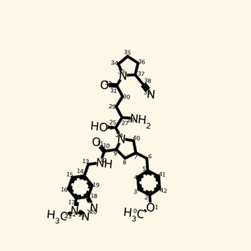 COc1ccc(CC2CC(C(=O)NCc3ccc4c(c3)nnn4C)N(C(O)C(N)CCC(=O)N3CCCC3C#N)C2)cc1